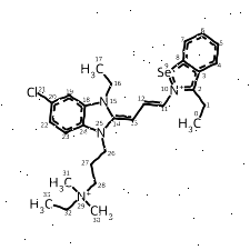 CCc1c2ccccc2[se][n+]1C=CC=C1N(CC)c2cc(Cl)ccc2N1CCC[N+](C)(C)CC